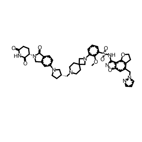 COc1c(N2CC3(CCN(C[C@@H]4CCN(c5ccc6c(c5)CN([C@H]5CCC(=O)NC5=O)C6=O)C4)CC3)C2)cccc1S(=O)(=O)Nc1noc2cc(Cn3cccn3)c3c(c12)OCC3